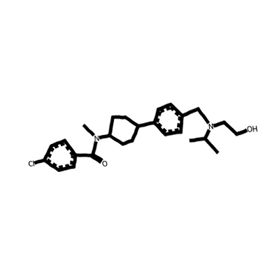 CC(C)N(CCO)Cc1ccc(C2CCC(N(C)C(=O)c3ccc(Cl)cc3)CC2)cc1